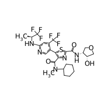 C[C@H](Nc1cc(C(F)(F)F)c(-c2sc(C(=O)N[C@@H]3COC[C@@H]3O)nc2C(=O)N(C)C2CCCCC2)cn1)C(F)(F)F